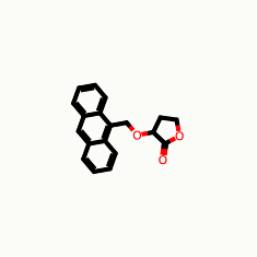 O=C1OCCC1OCc1c2ccccc2cc2ccccc12